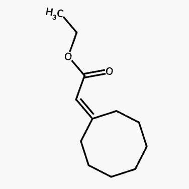 CCOC(=O)C=C1CCCCCCC1